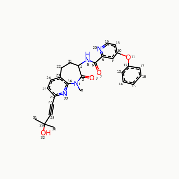 CN1C(=O)C(NC(=O)c2cc(Oc3ccccc3)ccn2)CCc2ccc(C#CC(C)(C)O)nc21